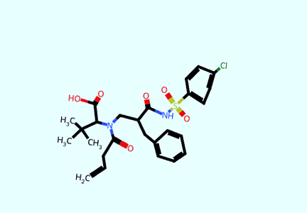 C=CCC(=O)N(CC(Cc1ccccc1)C(=O)NS(=O)(=O)c1ccc(Cl)cc1)C(C(=O)O)C(C)(C)C